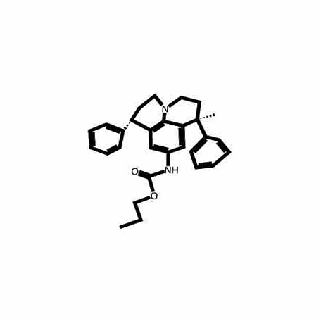 CCCOC(=O)Nc1cc2c3c(c1)[C@](C)(c1ccccc1)CCN3CC[C@H]2c1ccccc1